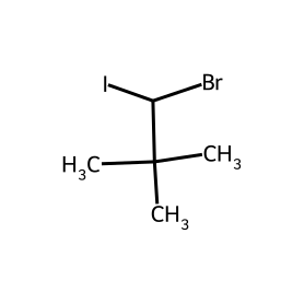 CC(C)(C)C(Br)I